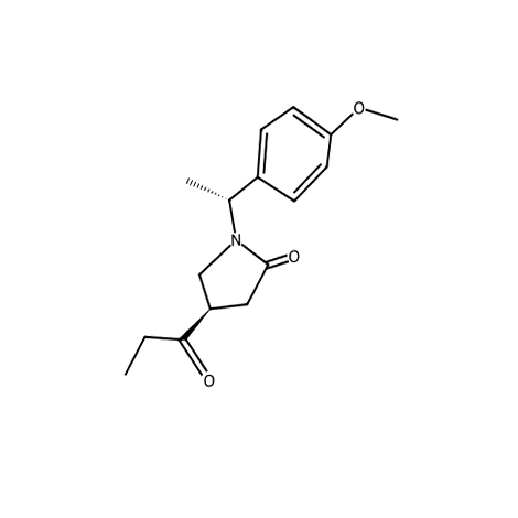 CCC(=O)[C@@H]1CC(=O)N([C@H](C)c2ccc(OC)cc2)C1